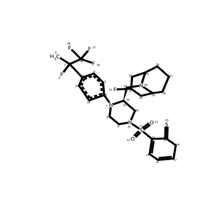 CC(F)(c1ccc(N2CCN(S(=O)(=O)C3=CC=CCC3=S)C[C@@H]2CN2C3CCCC2CC(F)C3)cc1)C(F)(F)F